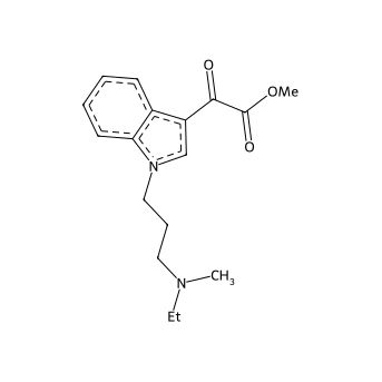 CCN(C)CCCn1cc(C(=O)C(=O)OC)c2ccccc21